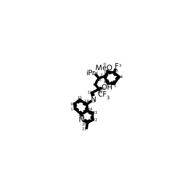 COc1c(F)cccc1C(CC(O)(C=Nc1cccc2nc(C)ccc12)C(F)(F)F)C(C)C